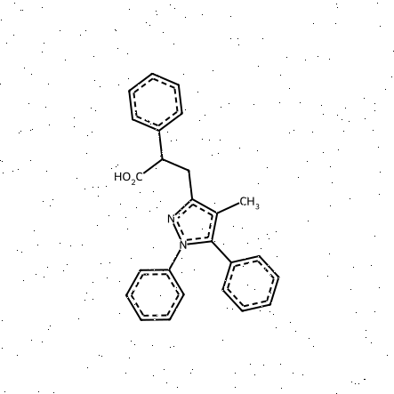 Cc1c(CC(C(=O)O)c2ccccc2)nn(-c2ccccc2)c1-c1ccccc1